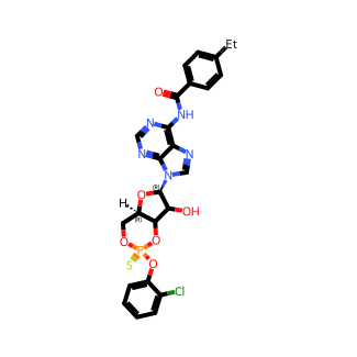 CCc1ccc(C(=O)Nc2ncnc3c2ncn3[C@@H]2O[C@@H]3COP(=S)(Oc4ccccc4Cl)OC3C2O)cc1